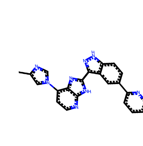 Cc1cn(-c2ccnc3[nH]c(-c4n[nH]c5ccc(-c6ccccn6)cc45)nc23)cn1